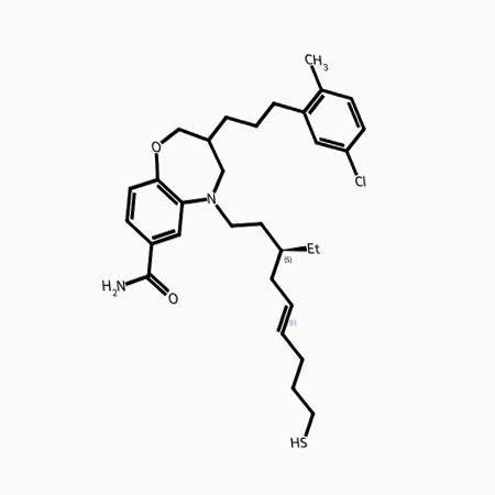 CC[C@@H](C/C=C/CCCS)CCN1CC(CCCc2cc(Cl)ccc2C)COc2ccc(C(N)=O)cc21